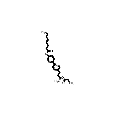 CCCC=CCCC(=O)Oc1ccc(-c2ccc(CCC(C)OC(=O)CC)cc2)nc1